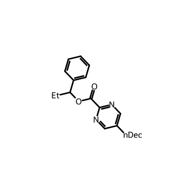 CCCCCCCCCCc1cnc(C(=O)OC(CC)c2ccccc2)nc1